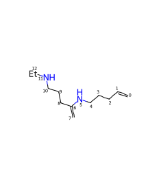 C=CCCCNC(=C)CCCNCC